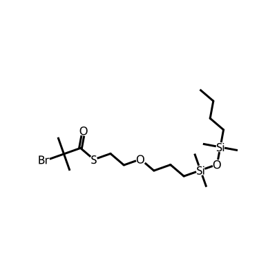 CCCC[Si](C)(C)O[Si](C)(C)CCCOCCSC(=O)C(C)(C)Br